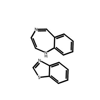 C1=CNc2ccccc2C=N1.c1ccc2scnc2c1